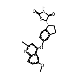 COc1ccc2nc(C)cc(Oc3ccc4c(c3)CC[C@H]4C3SC(=O)NC3=O)c2c1